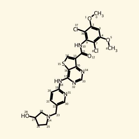 COc1cc(OC)c(Cl)c(NC(=O)c2csc3c(Nc4ccc(CN5CCC(O)C5)cn4)ncnc23)c1Cl